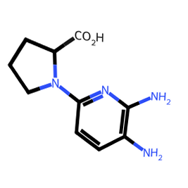 Nc1ccc(N2CCCC2C(=O)O)nc1N